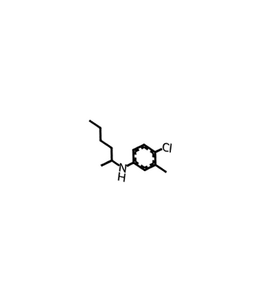 CCCCC(C)Nc1ccc(Cl)c(C)c1